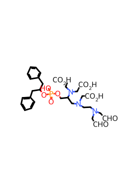 O=CCN(CC=O)CCN(CC(=O)O)CC(COP(=O)(O)OC(Cc1ccccc1)Cc1ccccc1)N(CC(=O)O)CC(=O)O